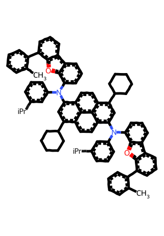 Cc1ccccc1-c1cccc2c1oc1c(N(c3cccc(C(C)C)c3)c3cc(C4CCCCC4)c4ccc5c(N(c6cccc(C(C)C)c6)c6cccc7c6oc6c(-c8ccccc8C)cccc67)cc(C6CCCCC6)c6ccc3c4c65)cccc12